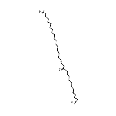 CCCCCCCCCCCCCCCCCCCCC(=O)CCCCCCCCCCCC